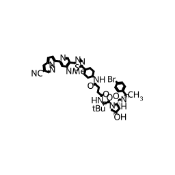 CNc1cc(-c2ccc3cc(C#N)cnn23)ncc1-c1nnc(C2CCC(NC(=O)CCC(=O)N[C@H](C(=O)N3C[C@H](O)C[C@H]3C(=O)N[C@@H](C)c3ccc(Br)cc3)C(C)(C)C)CC2)s1